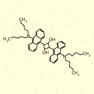 CCCCCN(CCCCC)c1c2ccccc2c(C2C(O)C(c3c4ccccc4c(N(CCCCC)CCCCC)c4ccccc34)C2O)c2ccccc12